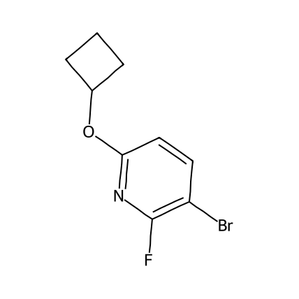 Fc1nc(OC2CCC2)ccc1Br